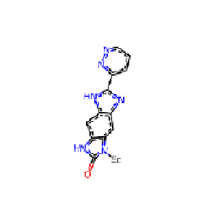 CCn1c(=O)[nH]c2cc3[nH]c(-c4cccnn4)nc3cc21